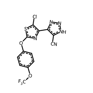 N#Cc1[nH]nnc1-c1nc(Oc2ccc(OC(F)(F)F)cc2)sc1Cl